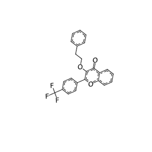 O=c1c(OCCc2ccccc2)c(-c2ccc(C(F)(F)F)cc2)oc2ccccc12